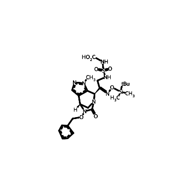 Cn1ncc2c1[C@@H](/C(CNS(=O)(=O)NC(=O)O)=N/O[Si](C)(C)C(C)(C)C)N1C[C@@H]2N(OCc2ccccc2)C1=O